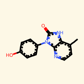 Cc1ccnc2c1[nH]c(=O)n2-c1ccc(O)cc1